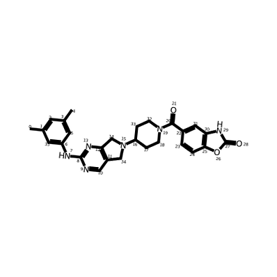 Cc1cc(C)cc(Nc2ncc3c(n2)CN(C2CCN(C(=O)c4ccc5oc(=O)[nH]c5c4)CC2)C3)c1